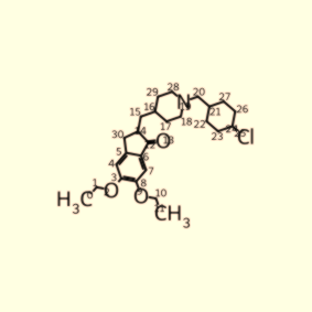 CCOc1cc2c(cc1OCC)C(=O)C(CC1CCN(CC3CCC(Cl)CC3)CC1)C2